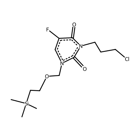 C[Si](C)(C)CCOCn1cc(F)c(=O)n(CCCCl)c1=O